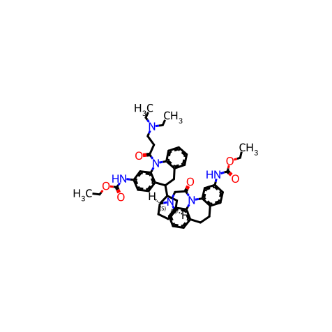 CCOC(=O)Nc1ccc2c(c1)N(C(=O)CN1[C@@H]3CC[C@H]1C(C1Cc4ccccc4N(C(=O)CCN(CC)CC)c4cc(NC(=O)OCC)ccc41)C3)c1ccccc1CC2